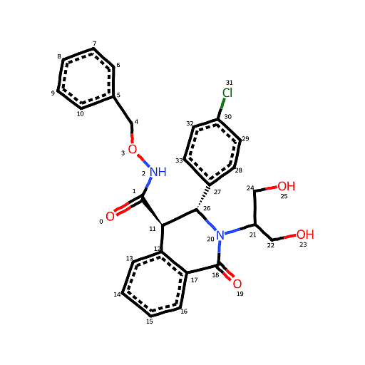 O=C(NOCc1ccccc1)[C@@H]1c2ccccc2C(=O)N(C(CO)CO)[C@H]1c1ccc(Cl)cc1